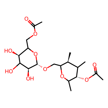 CC(=O)OCC1O[C@H](OCC2OC(C)[C@@H](OC(C)=O)C(C)[C@@H]2C)[C@@H](O)C(O)[C@H]1O